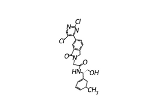 CC1C=CC=C([C@@H](CO)NC(=O)CN2Cc3ccc(-c4nc(Cl)ncc4Cl)cc3C2=O)C1